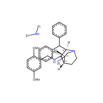 CCNCC.COc1ccc(OC)c(CN[C@@H]2[C@H]3CCN(C[C@H]3C)[C@@H]2C(c2ccccc2)c2ccccc2)c1